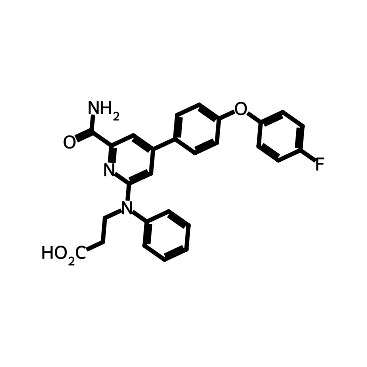 NC(=O)c1cc(-c2ccc(Oc3ccc(F)cc3)cc2)cc(N(CCC(=O)O)c2ccccc2)n1